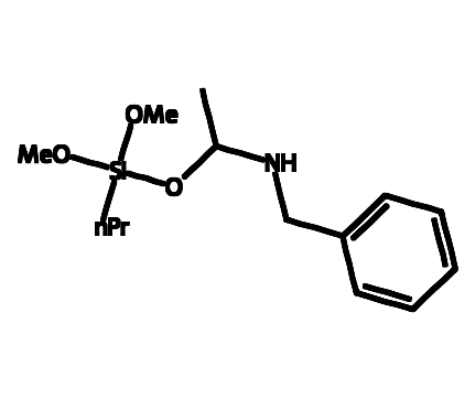 CCC[Si](OC)(OC)OC(C)NCc1ccccc1